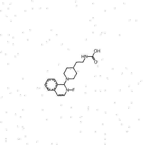 O=C(O)NCCC1CCN(C2c3ccccc3C=CN2F)CC1